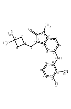 Cn1c(=O)n(CC2CC(C)(C)C2)c2cc(Nc3ccnc(Cl)c3C#N)ccc21